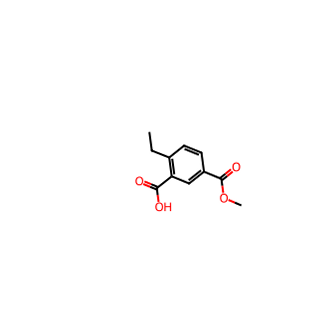 CCc1ccc(C(=O)OC)cc1C(=O)O